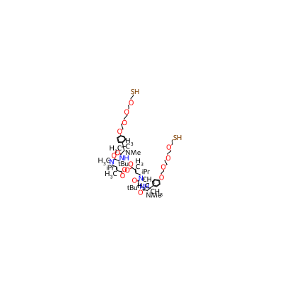 CN[C@H](C(=O)N[C@H](C(=O)N(C)[C@H](/C=C(\C)C(=O)OOC(=O)/C(C)=C/[C@H](C(C)C)N(C)C(=O)[C@@H](NC(=O)[C@@H](NC)C(C)(C)c1ccc(OCCOCCOCCOCCS)cc1)C(C)(C)C)C(C)C)C(C)(C)C)C(C)(C)c1ccc(OCCOCCOCCOCCS)cc1